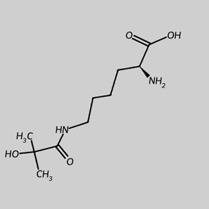 CC(C)(O)C(=O)NCCCC[C@H](N)C(=O)O